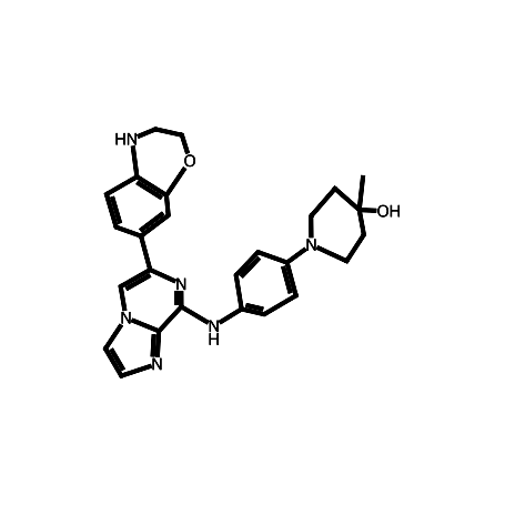 CC1(O)CCN(c2ccc(Nc3nc(-c4ccc5c(c4)OCCN5)cn4ccnc34)cc2)CC1